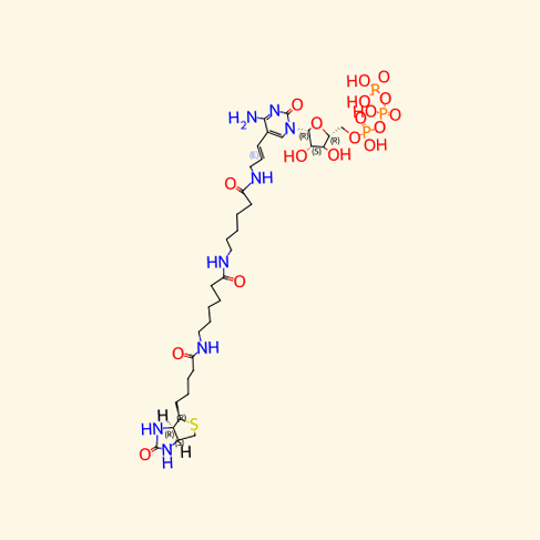 Nc1nc(=O)n([C@@H]2O[C@H](COP(=O)(O)OP(=O)(O)OP(=O)(O)O)C(O)[C@@H]2O)cc1/C=C/CNC(=O)CCCCCNC(=O)CCCCCNC(=O)CCCC[C@H]1SC[C@H]2NC(=O)N[C@H]21